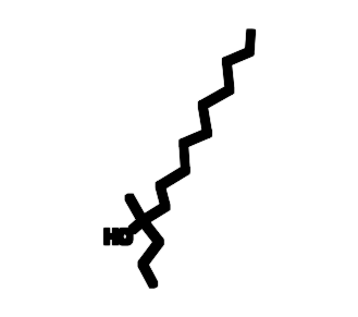 CCCCCCCCCCC(C)(O)CCC